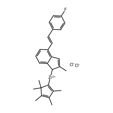 CC1=Cc2c(/C=C/c3ccc(F)cc3)cccc2[CH]1[Zr+2][C]1=C(C)C(C)=C(C)C1(C)C.[Cl-].[Cl-]